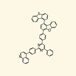 c1ccc(-c2cc(-c3ccc(-c4ccc(-c5cccc6sc7ccccc7c56)c5c4oc4ccccc45)cc3)nc(-c3ccc(-c4ccnc5ccccc45)cc3)n2)cc1